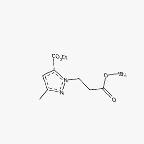 CCOC(=O)c1cc(C)nn1CCC(=O)OC(C)(C)C